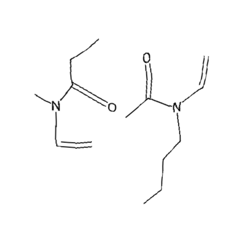 C=CN(C)C(=O)CC.C=CN(CCCC)C(C)=O